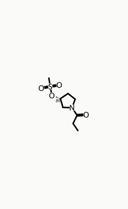 CCC(=O)N1CC[C@@H](OS(C)(=O)=O)C1